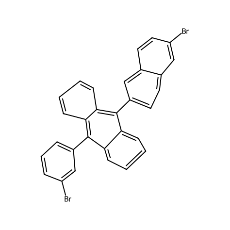 Brc1cccc(-c2c3ccccc3c(-c3ccc4cc(Br)ccc4c3)c3ccccc23)c1